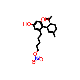 C=C(C)[C@H]1CCC(C)=CC1c1c(O)cc(O)cc1CCCCCO[N+](=O)[O-]